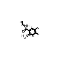 C=CNC(=O)c1cc(C)c(F)cc1N